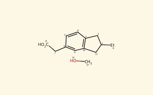 CCC1Cc2ccc(CC(=O)O)cc2C1.CO